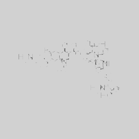 NCC1CCN(c2cc3c(cc2F)c(=O)c(C(=O)OCC2=C(C(=O)O)N4C(=O)[C@@H](NC(=O)CSC[C@@H](N)C(=O)O)[C@H]4SC2)cn3C2CC2)C1